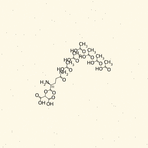 CC(=O)O.CC(=O)O.CC(=O)O.CC(=O)O.CC(=O)O.CC(=O)O.NC(=O)CC[C@H](N)C(=O)OC(C(=O)O)C(=O)O